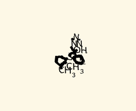 Cc1cccc([SiH2]CC(O)(Cn2cncn2)c2ccccc2)c1C